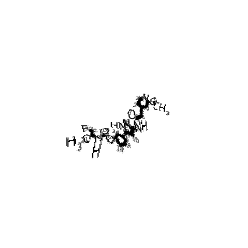 COc1cc(CC(=O)Nc2cc([C@H]3CC[C@@H](OC(=O)N[C@@H](C)CF)C3)[nH]n2)ccn1